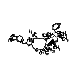 CO[C@]1(C)C[C@@H](C)CN[C@H](CCCN2CCc3ncncc3C2)COC(=O)C(C)(C)C(=O)[C@H](C)[C@H]1O[C@@H]1O[C@H](C)C[C@H](N(C)C)[C@H]1OC(=O)c1ccccc1